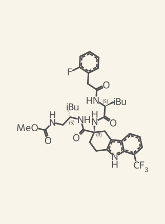 CCC(C)[C@H](NC(=O)Cc1ccccc1F)C(=O)N[C@]1(C(=O)N[C@H](CNC(=O)OC)C(C)CC)CCc2[nH]c3c(C(F)(F)F)cccc3c2C1